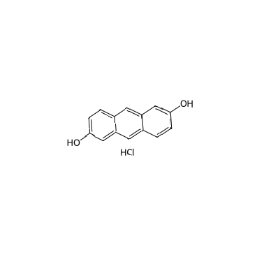 Cl.Oc1ccc2cc3cc(O)ccc3cc2c1